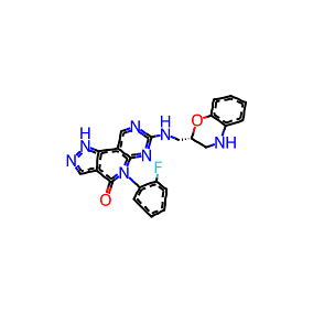 O=c1c2cn[nH]c2c2cnc(NC[C@H]3CNc4ccccc4O3)nc2n1-c1ccccc1F